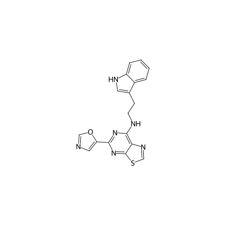 c1ccc2c(CCNc3nc(-c4cnco4)nc4scnc34)c[nH]c2c1